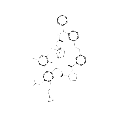 C[n+]1cc(Cl)c(C[C@H](OC(=O)[C@@H]2CCCN2C(=O)c2cccc(COc3cccc([C@@H](NC(=O)O[C@H]4CN5CCC4CC5)c4ccccc4)c3)c2)c2ccc(OC(F)F)c(OCC3CC3)c2)c(Cl)c1